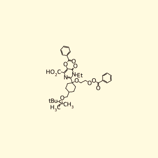 CCn1c(C2(OCCOOC(=O)c3ccccc3)CCC(CO[Si](C)(C)C(C)(C)C)CC2)nc(C(=O)O)c(OC(=O)c2ccccc2)c1=O